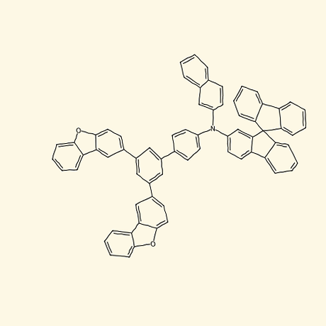 c1ccc2c(c1)-c1ccccc1C21c2ccccc2-c2ccc(N(c3ccc(-c4cc(-c5ccc6oc7ccccc7c6c5)cc(-c5ccc6oc7ccccc7c6c5)c4)cc3)c3ccc4ccccc4c3)cc21